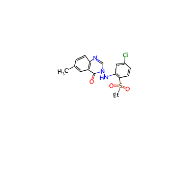 CCS(=O)(=O)c1ccc(Cl)cc1Nn1cnc2ccc(C)cc2c1=O